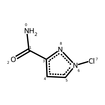 NC(=O)c1ccn(Cl)n1